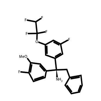 COc1cc([C@@](N)(Cc2ccccc2)c2cc(F)cc(OC(F)(F)C(F)F)c2)ccc1F